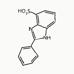 O=S(=O)(O)c1cccc2[nH]c(-c3ccccc3)nc12